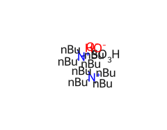 CCCC[N+](CCCC)(CCCC)CCCC.CCCC[N+](CCCC)(CCCC)CCCC.O=S(=O)([O-])O.[OH-]